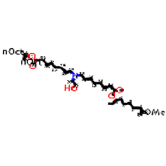 C=C(CCCCCC(C)OC(=O)CCCCCCCN(CCO)CCCCCCCC(=O)OC(CCCCCCCC)CCCCCCCC)OC